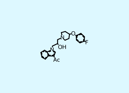 CC(=O)c1cn(CC(O)CN2CCC(Oc3ccc(F)cc3)CC2)c2ccccc12